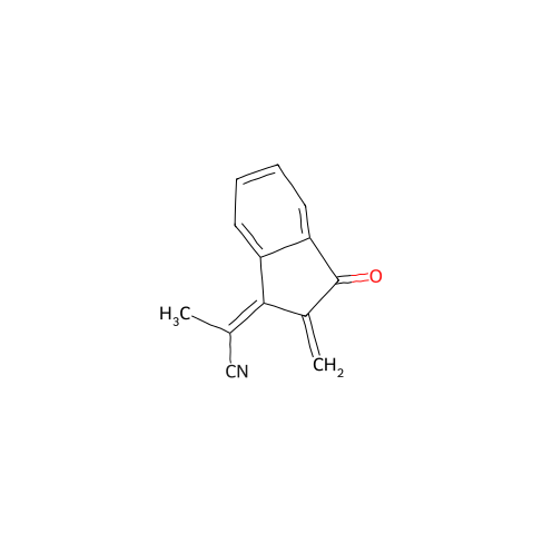 C=C1C(=O)c2ccccc2/C1=C(\C)C#N